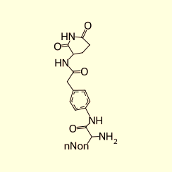 CCCCCCCCCC(N)C(=O)Nc1ccc(CC(=O)NC2CCC(=O)NC2=O)cc1